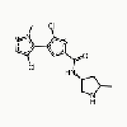 CC1C[C@H](NC(=O)c2cc(-c3c(Cl)cnn3C)c(Cl)s2)CN1